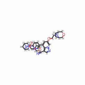 N#Cc1cnn2cc(OCCN3C4CCC3COC4)cc(-c3ccc(N4CC5CC(C4)N5C(=O)CC4CCOC4)nc3)c12